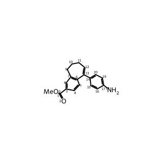 COC(=O)c1ccc2c(c1)CCCC=C2c1ccc(N)cc1